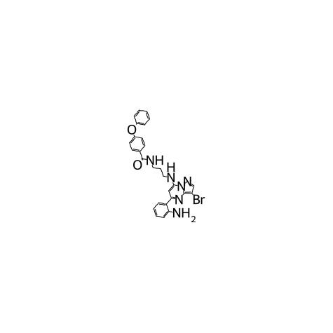 Nc1ccccc1-c1cc(NCCCNC(=O)c2ccc(Oc3ccccc3)cc2)n2ncc(Br)c2n1